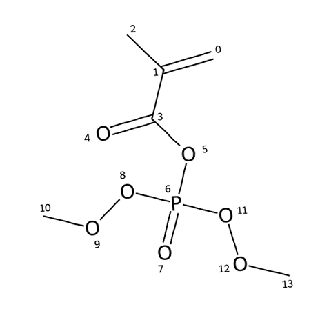 C=C(C)C(=O)OP(=O)(OOC)OOC